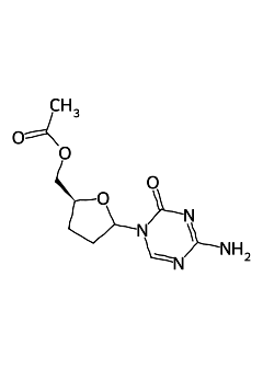 CC(=O)OC[C@@H]1CCC(n2cnc(N)nc2=O)O1